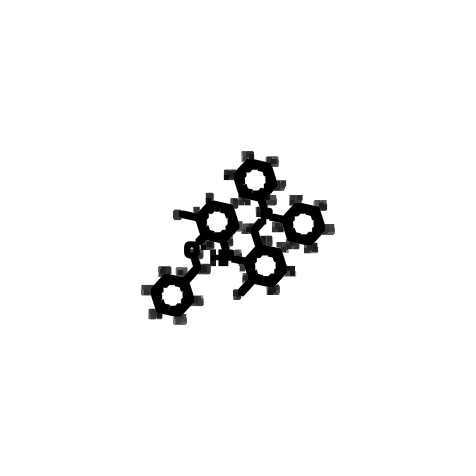 Cc1cccc(Pc2c(C)cccc2CP(c2ccccc2)c2ccccc2)c1OCc1ccccc1